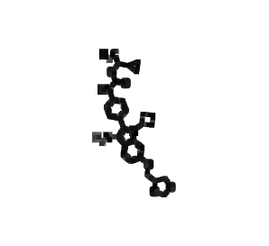 C[C@H](OC(=O)Nc1ccc(-c2c(N)c3ccc(OCC4COCO4)cc3n2C2CCC2)cc1)C1CC1